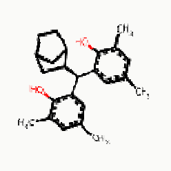 Cc1cc(C)c(O)c(C(c2cc(C)cc(C)c2O)C2CC3CCC2C3)c1